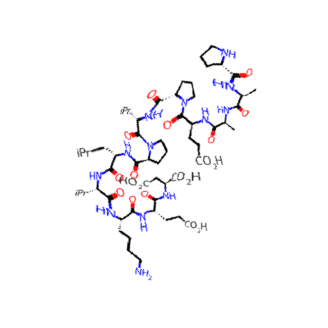 CC(C)C[C@H](NC(=O)[C@@H]1CCCN1C(=O)[C@@H](NC(=O)[C@@H]1CCCN1C(=O)[C@H](CCC(=O)O)NC(=O)[C@H](C)NC(=O)[C@H](C)NC(=O)[C@@H]1CCCN1)C(C)C)C(=O)N[C@H](C(=O)N[C@@H](CCCCN)C(=O)N[C@@H](CCC(=O)O)C(=O)N[C@@H](CC(=O)O)C(=O)O)C(C)C